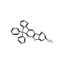 Cc1ccc2c(c1)sc1cc3c(cc12)-c1ccccc1[Si]3(c1ccccc1)c1ccccc1